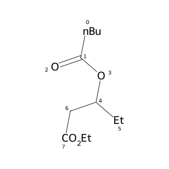 CCCCC(=O)OC(CC)CC(=O)OCC